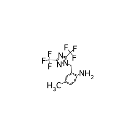 Cc1ccc(N)c(Cn2nc(C(F)(F)F)nc2C(F)(F)F)c1